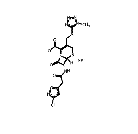 Cn1nnnc1SCC1=C(C(=O)[O-])N2C(=O)[C@@H](NC(=O)Cc3cc(Cl)no3)[C@H]2SC1.[Na+]